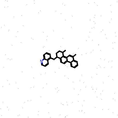 Cc1cc2c3c(ccc2c2ccccc12)C([CH]c1cccc2ncccc12)CCC3C